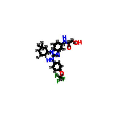 C[C@H]1C[C@@H](n2c(Nc3ccc(OC(F)(F)F)cc3)nc3cc(NC(=O)CO)ccc32)CC(C)(C)C1